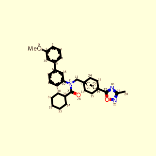 COc1cccc(-c2cccc(N(CC34CCC(c5nc(C)no5)(CC3)CC4)C(=O)C3CCCCC3)c2)c1